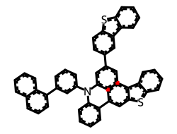 c1cc(-c2ccc3sc4ccccc4c3c2)cc(N(c2cccc(-c3cccc4ccccc34)c2)c2ccccc2-c2ccc3c(c2)sc2ccccc23)c1